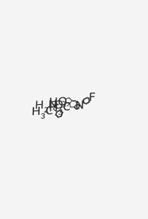 CC(C(N)=O)c1ccccc1CCC1(O)CCC2=Cc3c(ccn3-c3ccc(F)cc3)CC21C